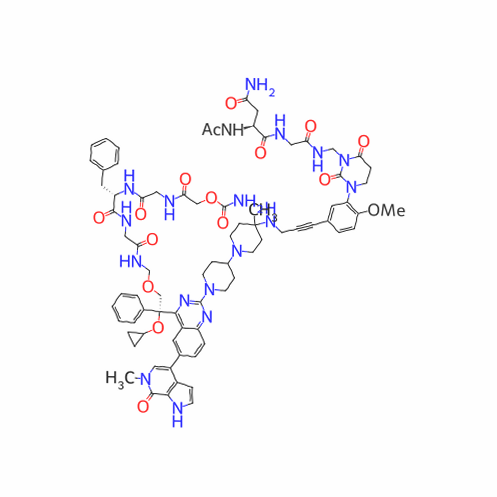 COc1ccc(C#CCNC2(C)CCN(C3CCN(c4nc([C@@](COCNC(=O)CNC(=O)[C@H](Cc5ccccc5)NC(=O)CNC(=O)COC(N)=O)(OC5CC5)c5ccccc5)c5cc(-c6cn(C)c(=O)c7[nH]ccc67)ccc5n4)CC3)CC2)cc1N1CCC(=O)N(CNC(=O)CNC(=O)[C@H](CC(N)=O)NC(C)=O)C1=O